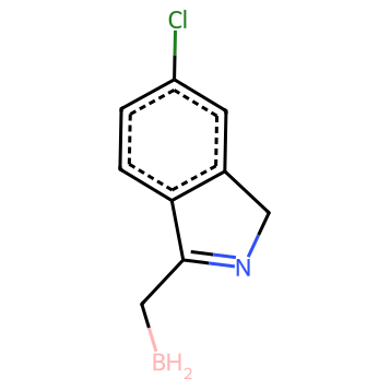 BCC1=NCc2cc(Cl)ccc21